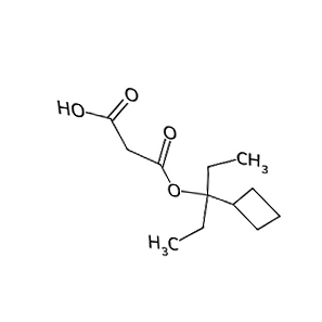 CCC(CC)(OC(=O)CC(=O)O)C1CCC1